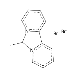 CC1[n+]2ccccc2-c2cccc[n+]21.[Br-].[Br-]